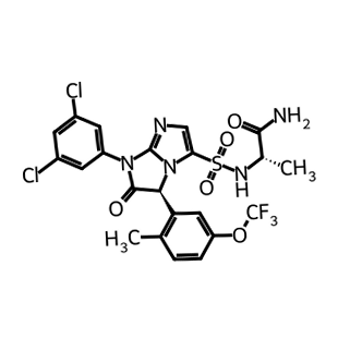 Cc1ccc(OC(F)(F)F)cc1[C@H]1C(=O)N(c2cc(Cl)cc(Cl)c2)c2ncc(S(=O)(=O)N[C@@H](C)C(N)=O)n21